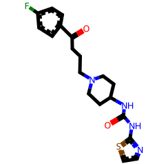 O=C(Nc1nccs1)NC1CCN(CCCC(=O)c2ccc(F)cc2)CC1